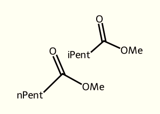 CCCC(C)C(=O)OC.CCCCCC(=O)OC